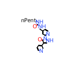 CCCCCNC(=O)NCc1ccnc(-n2[nH]cc(-c3cccnc3)c2=O)c1